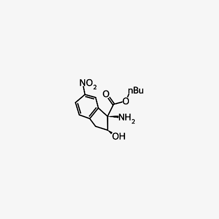 CCCCOC(=O)[C@@]1(N)c2cc([N+](=O)[O-])ccc2C[C@@H]1O